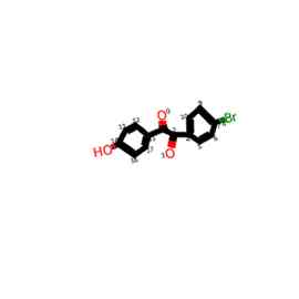 O=C(C(=O)c1ccc(Br)cc1)c1ccc(O)cc1